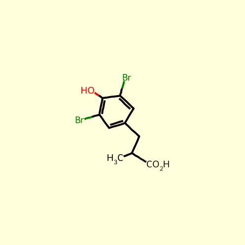 CC(Cc1cc(Br)c(O)c(Br)c1)C(=O)O